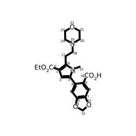 CCOC(=O)c1cc(-c2cc3c(cc2C(=O)O)OCO3)n(C)c1CCN1CCOCC1